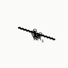 CCCCCCCCCCOC(=O)CC(C(=O)OCCCCCCCCCC)S(=O)(=O)O.N